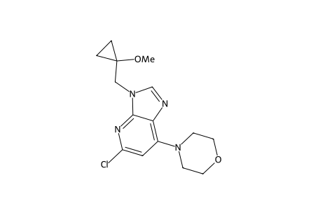 COC1(Cn2cnc3c(N4CCOCC4)cc(Cl)nc32)CC1